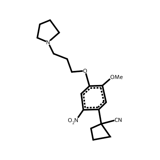 COc1cc(C2(C#N)CCC2)c([N+](=O)[O-])cc1OCCCN1CCCC1